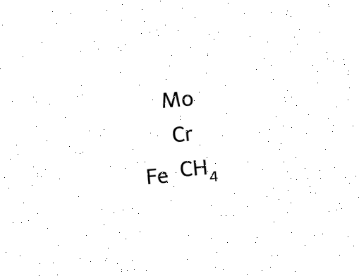 C.[Cr].[Fe].[Mo]